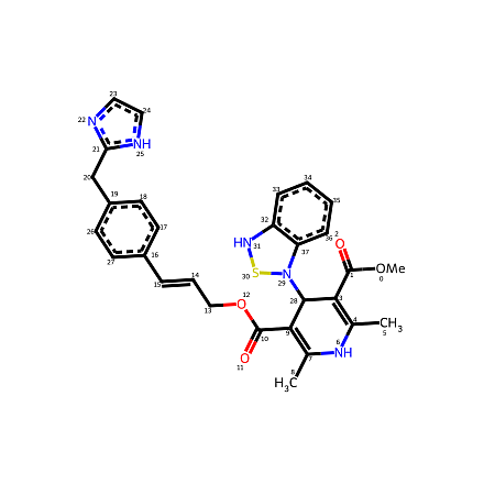 COC(=O)C1=C(C)NC(C)=C(C(=O)OCC=Cc2ccc(Cc3ncc[nH]3)cc2)C1N1SNc2ccccc21